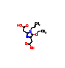 C=CCn1c(CC(=O)O)nc(CC(=O)O)c1OCC